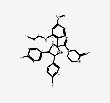 COc1ccc(C2(C(=O)N3CCNC(=O)C3)NC(c3ccc(Cl)cc3)C(c3ccc(Cl)cc3)N2)c(OCCF)c1